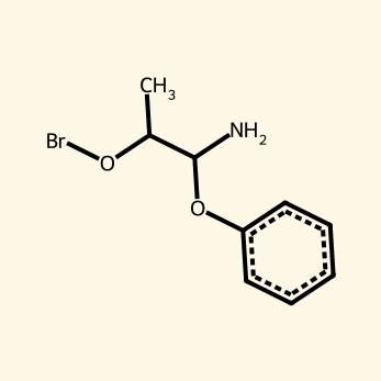 CC(OBr)C(N)Oc1ccccc1